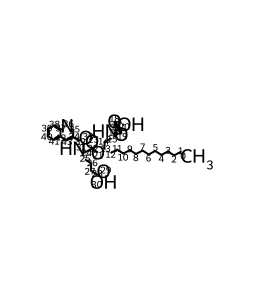 CCCCCCCCCCCCC[C@@H](CCNS(=O)(=O)O)OC(=O)[C@H](CCCC(=O)O)NC(=O)c1cnc2ccccc2c1